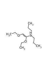 CCC[SiH](CCC)C(=COCC)OCC